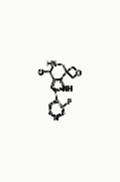 O=C1NCC2(COC2)c2[nH]c(-c3ccncc3F)cc21